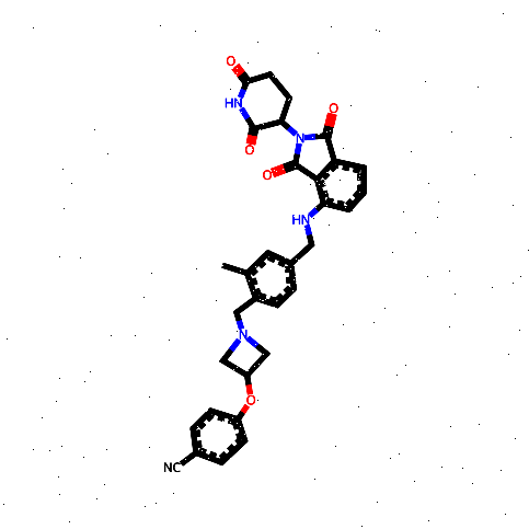 Cc1cc(CNc2cccc3c2C(=O)N(C2CCC(=O)NC2=O)C3=O)ccc1CN1CC(Oc2ccc(C#N)cc2)C1